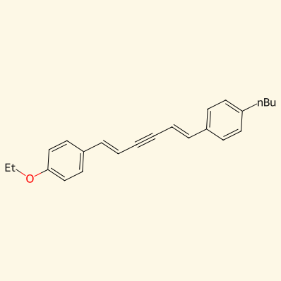 CCCCc1ccc(C=CC#CC=Cc2ccc(OCC)cc2)cc1